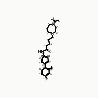 CC(=O)N1CCCN(CCCCC(=O)Nc2ccc(-c3ccc(F)cc3F)cc2)CC1